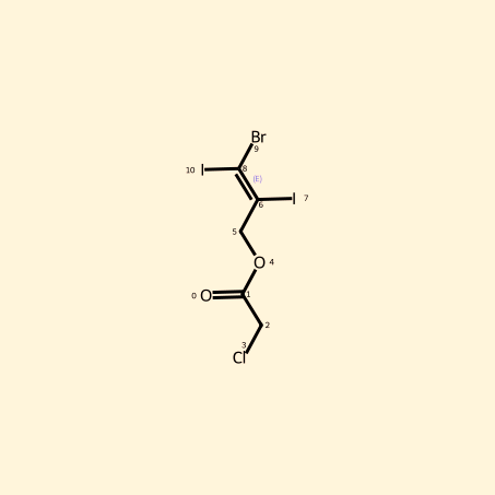 O=C(CCl)OC/C(I)=C(/Br)I